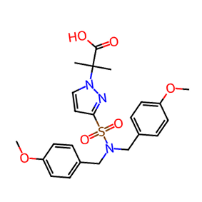 COc1ccc(CN(Cc2ccc(OC)cc2)S(=O)(=O)c2ccn(C(C)(C)C(=O)O)n2)cc1